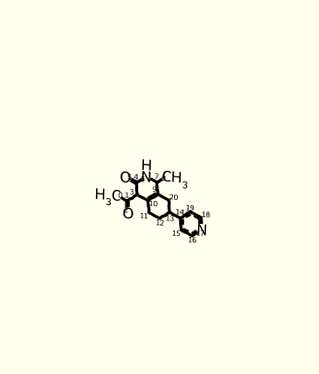 CC(=O)C1C(=O)NC(C)C2=C1CCC(c1ccncc1)C2